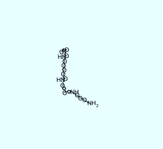 NCCCOCCOCCOCCCNc1ccc(C(=O)c2ccc(OCCCNC(=O)CCOCCOCCOCCOCCNC(=O)CCN3C(=O)C=CC3=O)cc2)cc1